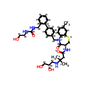 CC(C)(CC(=O)N[C@@H]1CSc2cc(C(F)(F)F)ccc2N(Cc2ccc(-c3ccccc3CNC(=O)NCCO)cc2)C1=O)NC[C@H](O)CO